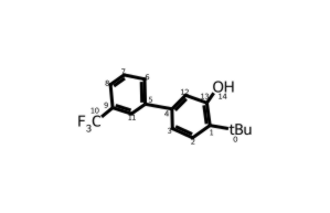 CC(C)(C)c1ccc(-c2cccc(C(F)(F)F)c2)cc1O